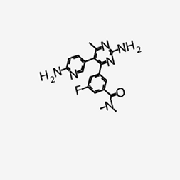 Cc1nc(N)nc(-c2cc(F)cc(C(=O)N(C)C)c2)c1-c1ccc(N)nc1